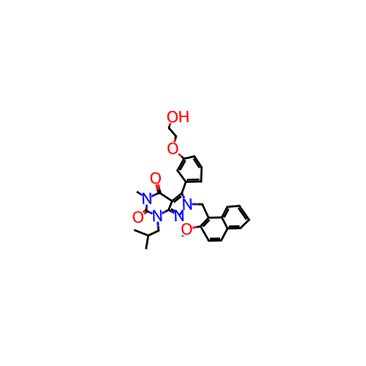 COc1ccc2ccccc2c1Cn1nc2c(c1-c1cccc(OCCO)c1)c(=O)n(C)c(=O)n2CC(C)C